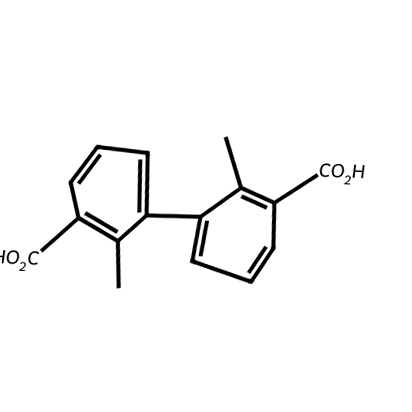 Cc1c(C(=O)O)cccc1-c1cccc(C(=O)O)c1C